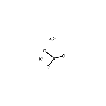 [K+].[O-]B([O-])[O-].[Pt+2]